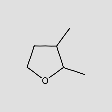 CC1CCOC1C